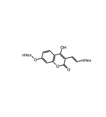 CCCCCCC=Cc1c(O)c2ccc(OCCCCCC)cc2oc1=O